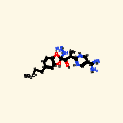 CCCC(C(=O)C1(NN)Oc2ccc(CCC(=O)O)cc2O1)c1ncc(C(=N)N)cn1